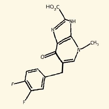 Cn1cc(Cc2ccc(F)c(F)c2)c(=O)c2nc(C(=O)O)[nH]c21